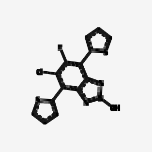 On1nc2c(-c3cccs3)c(F)c(Cl)c(-c3cccs3)c2n1